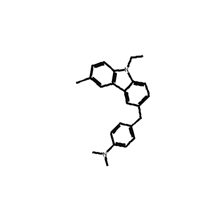 CCn1c2ccc(C)cc2c2cc(Cc3ccc(N(C)C)cc3)ccc21